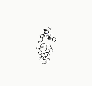 CC(C)(C)C(=N)/C=C(/NC(=O)Nc1ccccc1)Nc1cccc(CNC(=O)CNC(=O)c2ccc(C(=O)O)c(C3=c4cc5c6c(c4Oc4c3cc3c7c4CCCN7CCCC3)CCC[N+]=6CCCC5)c2)c1